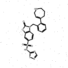 O=c1oc2cc(S(=O)(=O)Nc3ncns3)ccc2n1Cc1ccccc1C1=CCNCCC1